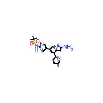 Cc1ccc(-c2cc(-c3cnc(NS(=O)(=O)C(C)(C)C)nc3)cn3nc(N)cc23)nc1